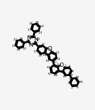 c1ccc(-c2ccc3oc4c(-c5ccc6oc7cc(-c8nc(-c9ccccc9)nc(-c9ccccc9)n8)ccc7c6c5)cccc4c3c2)cc1